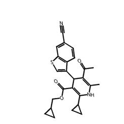 CC(=O)C1=C(C)NC(C2CC2)=C(C(=O)OCC2CC2)C1c1csc2cc(C#N)ccc12